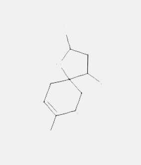 CC1=CCC2(CC1)OC(O)CC2C